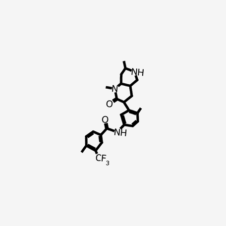 Cc1ccc(NC(=O)c2ccc(C)c(C(F)(F)F)c2)cc1C1CC2CNC(C)CC2N(C)C1=O